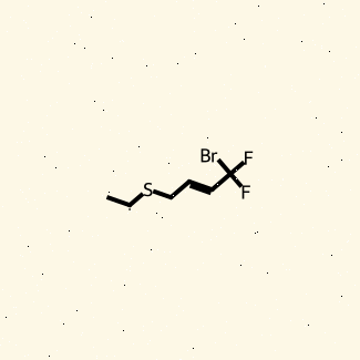 C[CH]SC/C=C/C(F)(F)Br